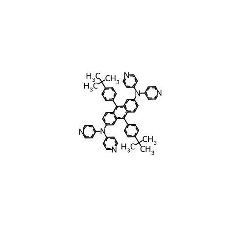 CC(C)(C)c1ccc(-c2c3ccc(N(c4ccncc4)c4ccncc4)cc3c(-c3ccc(C(C)(C)C)cc3)c3ccc(N(c4ccncc4)c4ccncc4)cc23)cc1